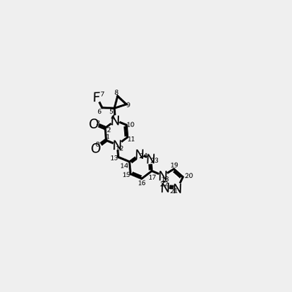 O=c1c(=O)n(C2(CF)CC2)ccn1Cc1ccc(-n2ccnn2)nn1